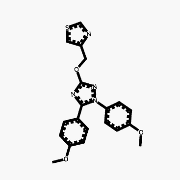 COc1ccc(-c2nc(OCc3cscn3)nn2-c2ccc(OC)cc2)cc1